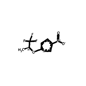 C[C@H](Oc1ccc([N+](=O)[O-])cn1)C(F)(F)F